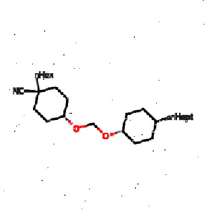 CCCCCCC[C@H]1CC[C@H](OCO[C@H]2CC[C@@](C#N)(CCCCCC)CC2)CC1